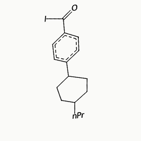 CCCC1CCC(c2ccc(C(=O)I)cc2)CC1